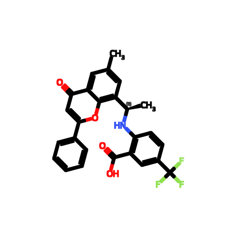 Cc1cc([C@@H](C)Nc2ccc(C(F)(F)F)cc2C(=O)O)c2oc(-c3ccccc3)cc(=O)c2c1